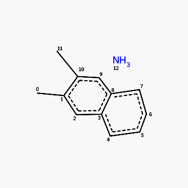 Cc1cc2ccccc2cc1C.N